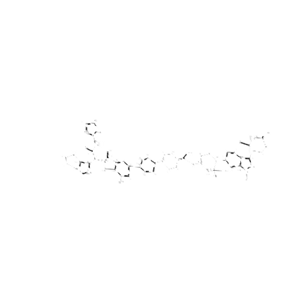 Cn1nc(N2CCC(=O)NC2=O)c2ccc([C@@H]3CCN(CC(=O)N4CCN(c5ccc(-c6cc(F)c7c(c6)C(=O)N(C(C(=O)Nc6nccs6)c6ncn8c6CCC8)C7)cc5)CC4)CC3(F)F)cc21